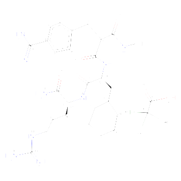 CNC(=O)C(Cc1ccc(C(=N)N)cc1)C(=O)N[C@@H](CC1CCCCC1)C(=O)N[C@@H](CCCNC(=N)N)C(N)=O.O=C(O)C(F)(F)F